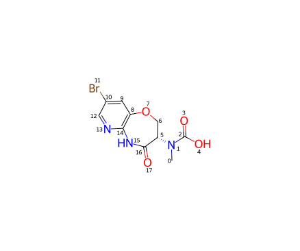 CN(C(=O)O)[C@H]1COc2cc(Br)cnc2NC1=O